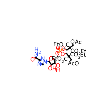 CCOC(=O)C(COC(C)=O)(COP(=O)(OC[C@H]1O[C@@H](n2cnc(C(N)=O)n2)C(O)C1O)OCC(COC(C)=O)(C(=O)OCC)C(=O)OCC)C(=O)OCC